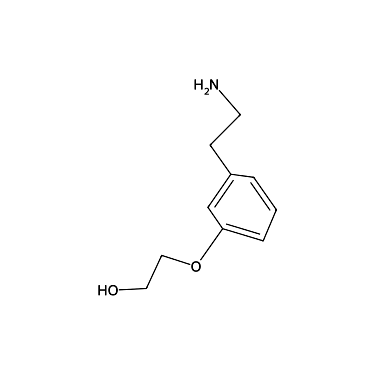 NCCc1cccc(OCCO)c1